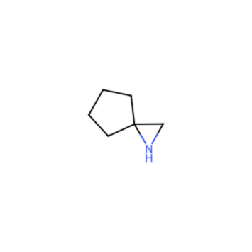 C1CCC2(C1)CN2